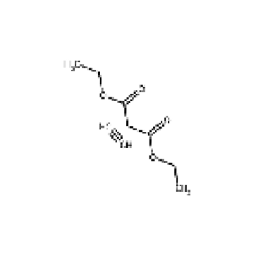 C#C.CCOC(=O)CC(=O)OCC